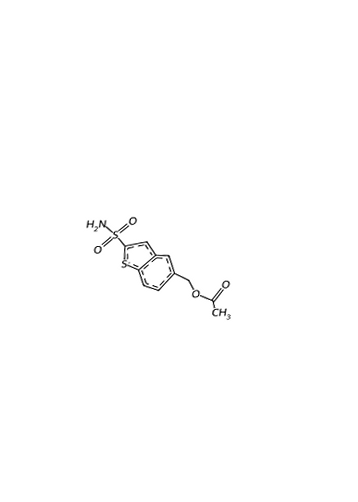 CC(=O)OCc1ccc2sc(S(N)(=O)=O)cc2c1